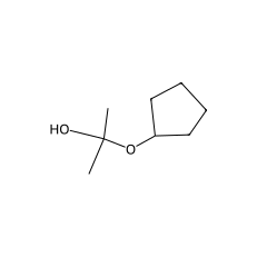 CC(C)(O)OC1CCCC1